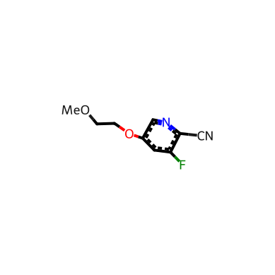 COCCOc1cnc(C#N)c(F)c1